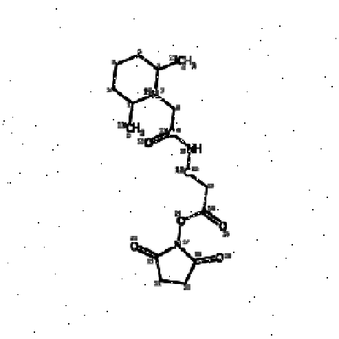 [13CH3]C1CCCC([13CH3])[15N]1C[13C](=O)N[13CH2]CC(=O)ON1C(=O)CCC1=O